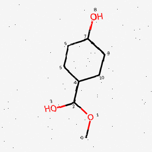 COC(O)C1CCC(O)CC1